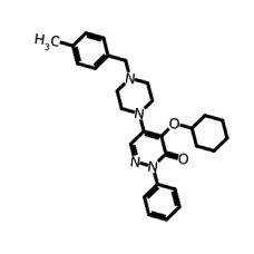 Cc1ccc(CN2CCN(c3cnn(-c4ccccc4)c(=O)c3OC3CCCCC3)CC2)cc1